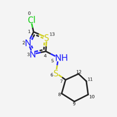 Clc1nnc(NSC2CCCCC2)s1